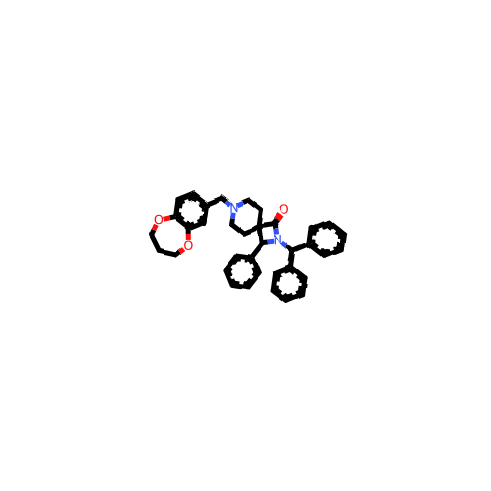 O=C1N(C(c2ccccc2)c2ccccc2)C(c2ccccc2)C12CCN(Cc1ccc3c(c1)OCCCO3)CC2